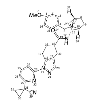 COc1ccc(CN2[C@H]3CC[C@@H]2[C@H](NC(=O)C2CCc4c(cnn4-c4cccc(C5(C#N)CC5)n4)C2)C3)cc1